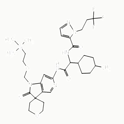 CC1CCC(C(NC(=O)c2ccnn2CCC(F)(F)F)C(=O)Nc2cc3c(cn2)C2(CCOCC2)C(=O)N3COCC[Si](C)(C)C)CC1